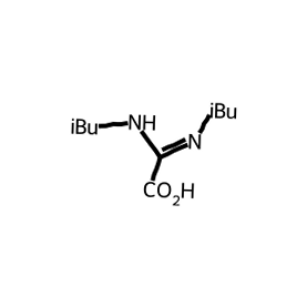 CCC(C)N=C(NC(C)CC)C(=O)O